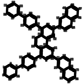 c1ccc(-c2ccc(-c3cc(-c4ccc5ccccc5c4)nc4c3ccc3c(-c5ccc(-c6ccccc6)cc5)cc(-c5ccc6ccccc6c5)nc34)cc2)cc1